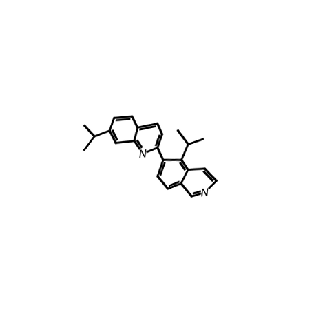 CC(C)c1ccc2ccc(-c3ccc4cnccc4c3C(C)C)nc2c1